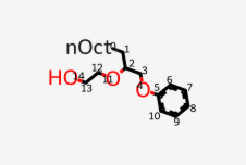 CCCCCCCCCC(COc1ccccc1)OCCO